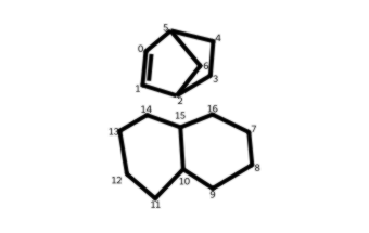 C1=CC2CCC1C2.C1CCC2CCCCC2C1